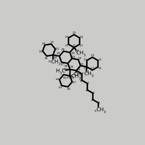 CCCCCCCCC1(C)C(C2(C)CCCCC2)CC2C(C3(C)CCCCC3)CC(C3(C)CCCCC3)CC2C1(C)C1(C)CCCCC1